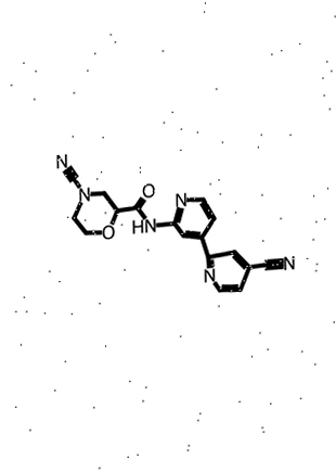 N#Cc1ccnc(-c2ccnc(NC(=O)C3CN(C#N)CCO3)c2)c1